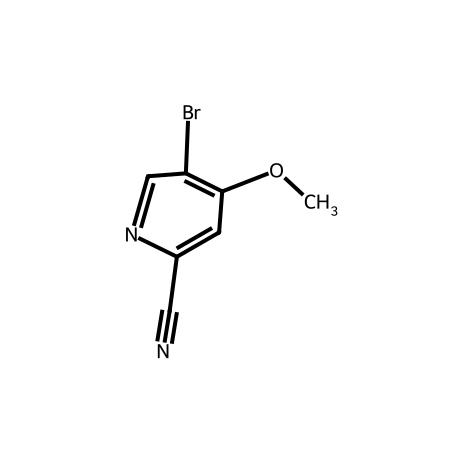 COc1cc(C#N)ncc1Br